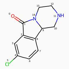 O=C1c2cc(Cl)ccc2C2CNCCN12